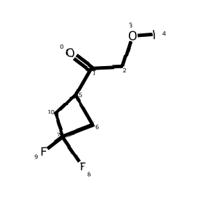 O=C(COI)C1CC(F)(F)C1